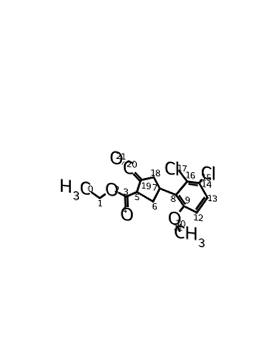 CCOC(=O)C1CC(c2c(OC)ccc(Cl)c2Cl)CC1=C=O